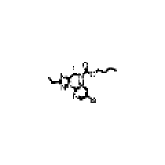 CCCCOC(=O)N[C@@H](C)c1nc(CC)nn1-c1ncc(Br)cn1